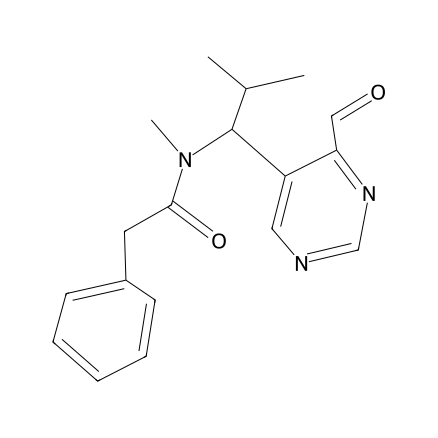 CC(C)C(c1cncnc1C=O)N(C)C(=O)Cc1ccccc1